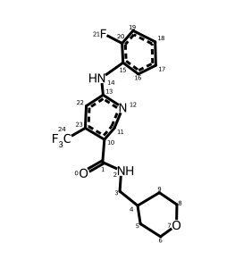 O=C(NCC1CCOCC1)c1cnc(Nc2ccccc2F)cc1C(F)(F)F